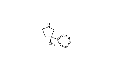 C[C@@]1(c2ccccc2)CCNC1